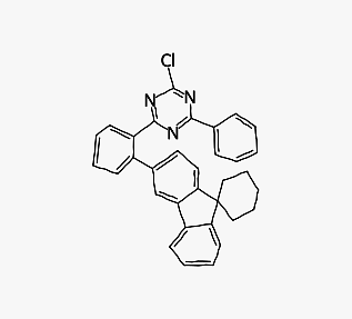 Clc1nc(-c2ccccc2)nc(-c2ccccc2-c2ccc3c(c2)-c2ccccc2C32CCCCC2)n1